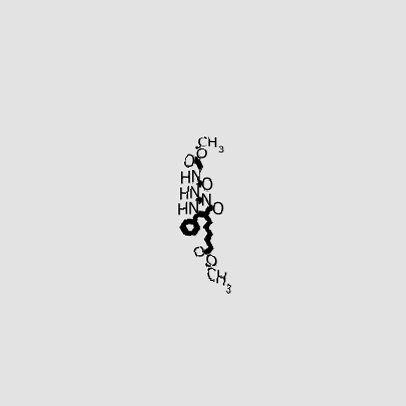 CCOC(=O)CCCCCc1c(-c2ccccc2)[nH]c(NC(=O)NCC(=O)OCC)nc1=O